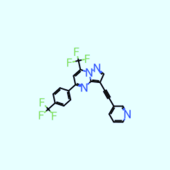 FC(F)(F)c1ccc(-c2cc(C(F)(F)F)n3ncc(C#Cc4cccnc4)c3n2)cc1